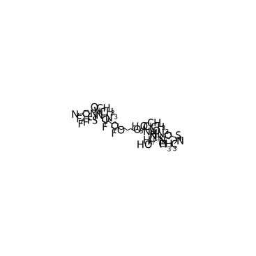 Cc1ncsc1-c1ccc2c(c1)N(C)C([C@@H]1C[C@@H](O)CN1C(=O)[C@@H](NC(=O)COCCCCOc1ccc(-c3ncc(N4C(=S)N(c5ccc(C#N)c(C(F)(F)F)c5F)C(=O)C4(C)C)cc3F)cc1F)C(C)(C)C)N2